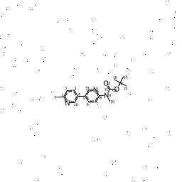 Cc1ccc(-c2ccc(N(C)C(=O)OC(C)(C)C)nc2)cn1